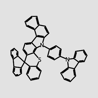 c1ccc2c(c1)Sc1c(ccc3c4c5ccccc5ccc4n(-c4ccc(-n5c6ccccc6c6ccccc65)cc4)c13)C21c2ccccc2-c2ccccc21